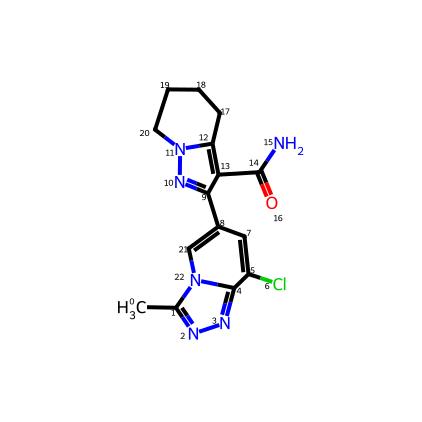 Cc1nnc2c(Cl)cc(-c3nn4c(c3C(N)=O)CCCC4)cn12